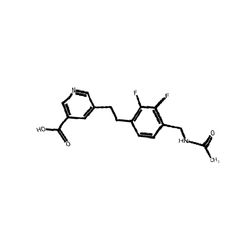 CC(=O)NCc1ccc(CCc2cncc(C(=O)O)c2)c(F)c1F